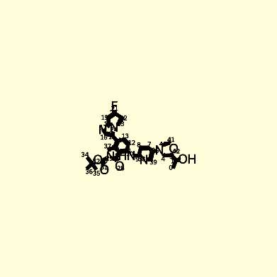 CC(O)C1CN(c2ccc(Nc3ccc(-c4cnc5cc(F)ccn45)c4c3C(=O)N(C(=O)OC(C)(C)C)C4)nc2)CCO1